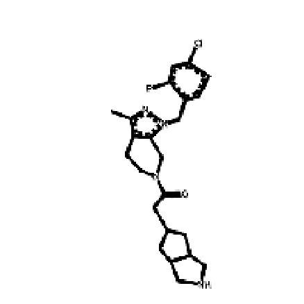 Cc1nn(Cc2ccc(Cl)cc2F)c2c1CCN(C(=O)CC1CC3CNCC3C1)C2